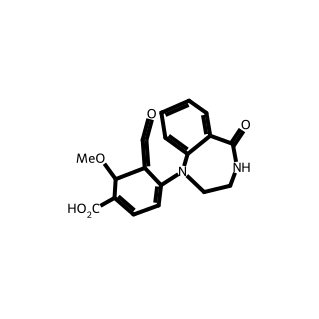 COC1C(=C=O)C(N2CCNC(=O)c3ccccc32)=CC=C1C(=O)O